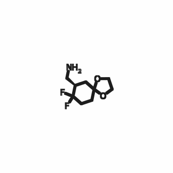 NC[C@H]1CC2(CCC1(F)F)OCCO2